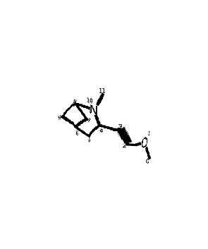 CO/C=C/C1CC2CC(C2)N1C